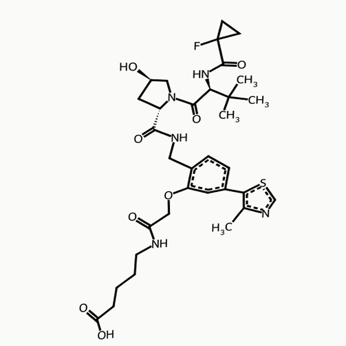 Cc1ncsc1-c1ccc(CNC(=O)[C@@H]2C[C@@H](O)CN2C(=O)[C@@H](NC(=O)C2(F)CC2)C(C)(C)C)c(OCC(=O)NCCCCC(=O)O)c1